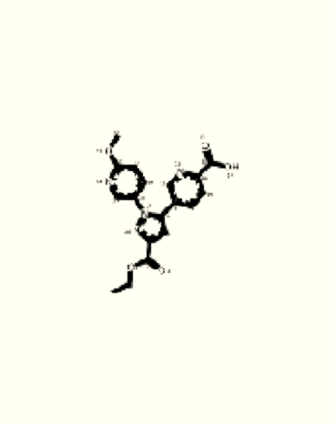 CCOC(=O)c1cc(-c2ccc(C(=O)O)nc2)n(-c2ccc(OC)nc2)n1